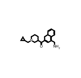 NCC1=C2C=CC=CC2CC(C(=O)C2CCCN(CC3CC3)C2)=C1